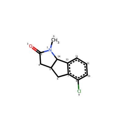 CN1C(=O)CC2Cc3c(Cl)cccc3C21